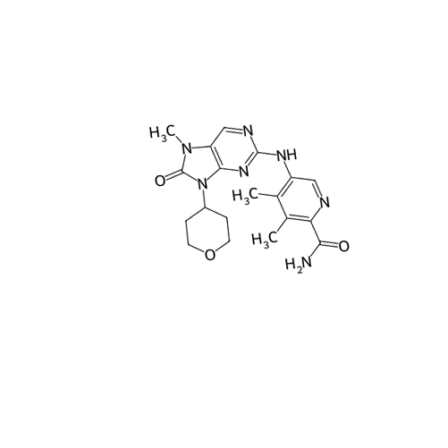 Cc1c(Nc2ncc3c(n2)n(C2CCOCC2)c(=O)n3C)cnc(C(N)=O)c1C